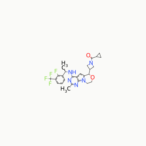 Cc1nc(N[C@H](C)c2cccc(C(F)(F)F)c2F)c2cc3n(c2n1)CCOC3C1CN(C(=O)C2CC2)C1